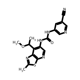 COC(C)c1c(NC(=O)Nc2cncc(C#N)c2)cnc2sc(C)nc12